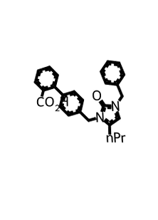 CCCc1cn(Cc2ccccc2)c(=O)n1Cc1ccc(-c2ccccc2C(=O)O)cc1